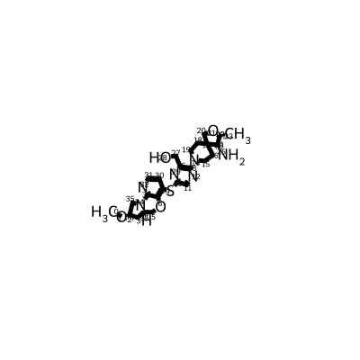 CO[C@@H]1C[C@@H]2COc3c(Sc4cnc(N5CCC6(CC5)CO[C@@H](C)[C@H]6N)c(CO)n4)ccnc3N2C1